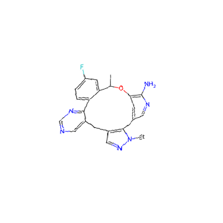 CCn1ncc2c1-c1cnc(N)c(c1)OC(C)c1cc(F)ccc1-c1ncncc1C2